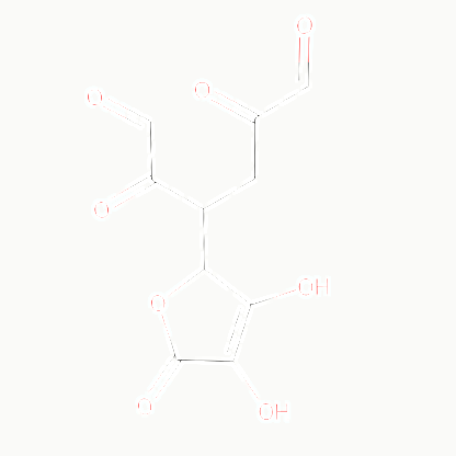 O=CC(=O)CC(C(=O)C=O)C1OC(=O)C(O)=C1O